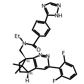 CCN(C[C@@]12CC[C@@H](c3cc(-c4c(F)cccc4F)nnc31)C2(C)C)C(=O)c1ccc(-c2ncn[nH]2)cc1